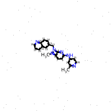 Cc1cc(Nc2ccc3c(n2)n(Cc2ccc4ncccc4c2)n3C)ccn1